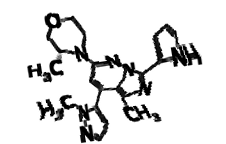 Cc1nc(-c2ccc[nH]2)n2nc(N3CCOC[C@H]3C)cc(-c3ccnn3C)c12